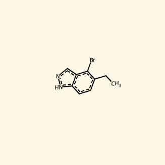 CCc1ccc2[nH]ncc2c1Br